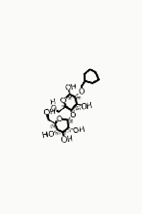 OC[C@H]1O[C@H](O[C@H]2[C@H](O)[C@@H](OCC3CCCCC3)[C@H](O)O[C@@H]2CO)[C@H](O)[C@@H](O)[C@@H]1O